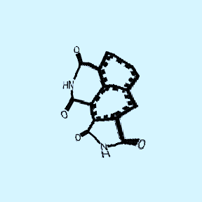 O=C1NC(=O)c2c1cc1cccc3c1c2C(=O)NC3=O